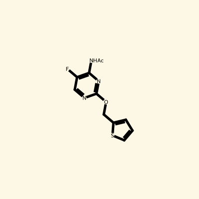 CC(=O)Nc1nc(OCc2cccs2)ncc1F